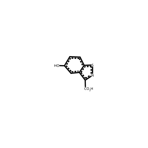 O=C(O)c1nsc2ccc(O)cc12